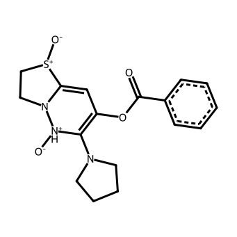 O=C(OC1=C(N2CCCC2)[NH+]([O-])N2CC[S+]([O-])C2=C1)c1ccccc1